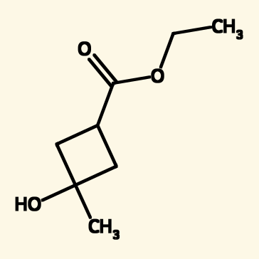 CCOC(=O)C1CC(C)(O)C1